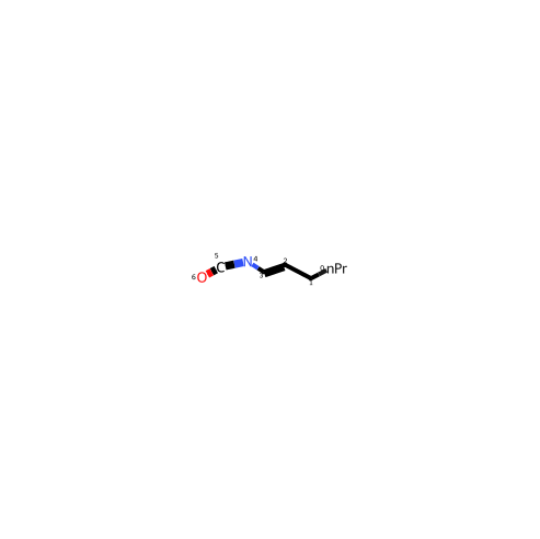 CCCCC=CN=C=O